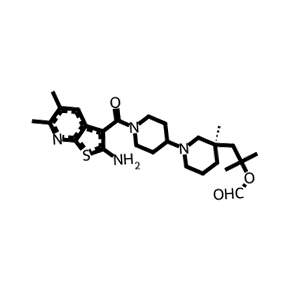 Cc1cc2c(C(=O)N3CCC(N4CCC[C@](C)(CC(C)(C)OC=O)C4)CC3)c(N)sc2nc1C